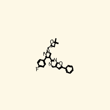 CC1(C)C[C@@H](Cn2cc(-c3ncc4cc(-c5ccccc5)oc4n3)c(-c3ccc(F)cc3)n2)O1